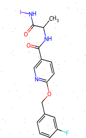 CC(NC(=O)c1ccc(OCc2cccc(F)c2)nc1)C(=O)NI